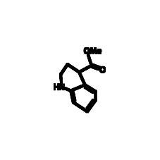 COC(=O)C1CCNc2ccccc21